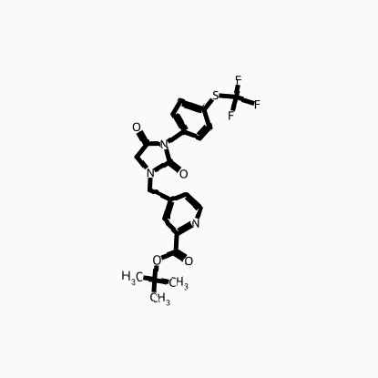 CC(C)(C)OC(=O)c1cc(CN2CC(=O)N(c3ccc(SC(F)(F)F)cc3)C2=O)ccn1